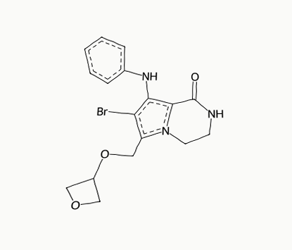 O=C1NCCn2c(COC3COC3)c(Br)c(Nc3ccccc3)c21